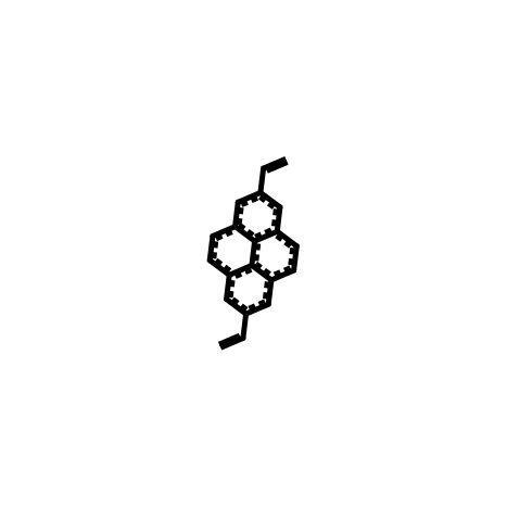 C=Cc1cc2ccc3cc(C=C)cc4ccc(c1)c2c34